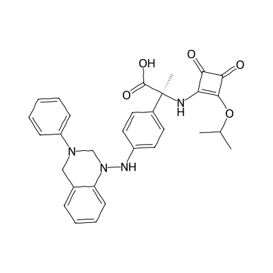 CC(C)Oc1c(N[C@](C)(C(=O)O)c2ccc(NN3CN(c4ccccc4)Cc4ccccc43)cc2)c(=O)c1=O